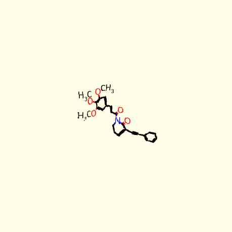 COc1cc(/C=C/C(=O)N2CCC=C(C#Cc3ccccc3)C2=O)cc(OC)c1OC